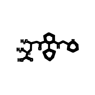 CC(CC(=O)c1cccc(NCc2ccccn2)c1-c1ccccc1)C[C@H](N)C(=O)O